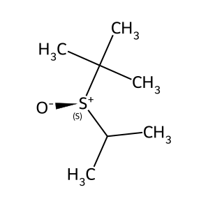 CC(C)[S@@+]([O-])C(C)(C)C